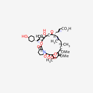 CO[C@H]1C[C@@H](C)C/C(C)=C/[C@@H](C/C=C/C(=O)O)C(=O)C[C@H](O)[C@@H](C)[C@@H](/C(C)=C/[C@H]2CC[C@H](O)CC2)OC(=O)[C@@H]2CCCCN2C(=O)C(=O)[C@]2(O)O[C@H]1[C@@H](OC)C[C@H]2C